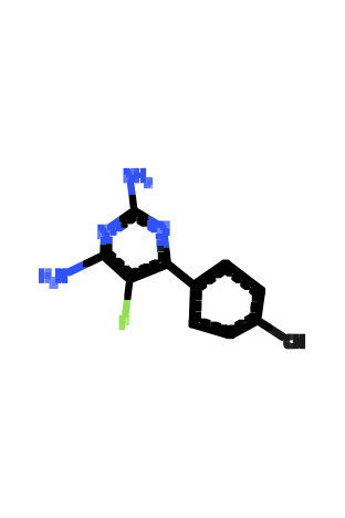 N#Cc1ccc(-c2nc(N)nc(N)c2F)cc1